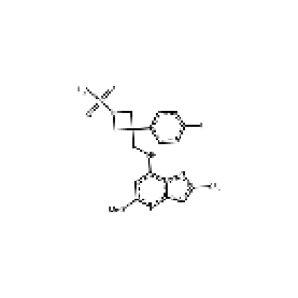 COc1cc(NCC2(c3ccc(F)cc3)CN(S(N)(=O)=O)C2)n2nc(C(F)(F)F)cc2n1